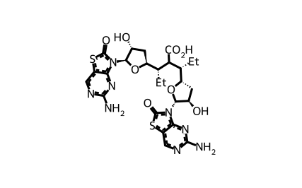 CC[C@@H](C(C(=O)O)[C@H](CC)[C@@H]1C[C@@H](O)[C@H](n2c(=O)sc3cnc(N)nc32)O1)[C@@H]1C[C@@H](O)[C@H](n2c(=O)sc3cnc(N)nc32)O1